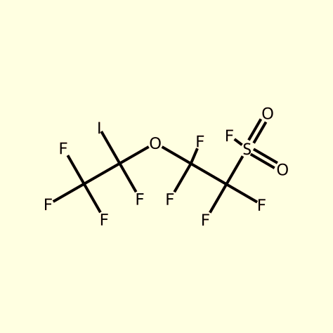 O=S(=O)(F)C(F)(F)C(F)(F)OC(F)(I)C(F)(F)F